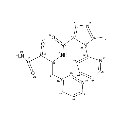 Cc1ncc(C(=O)NC(Cc2cccnc2)C(=O)C(N)=O)n1-c1ccccn1